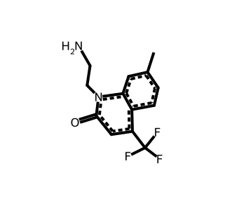 Cc1ccc2c(C(F)(F)F)cc(=O)n(CCN)c2c1